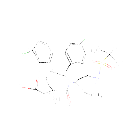 CCC(CNS(=O)(=O)C(C)(C)C)N1C(=O)[C@@](C)(CC(=O)O)C[C@H](c2cccc(Cl)c2)[C@H]1c1ccc(Cl)cc1